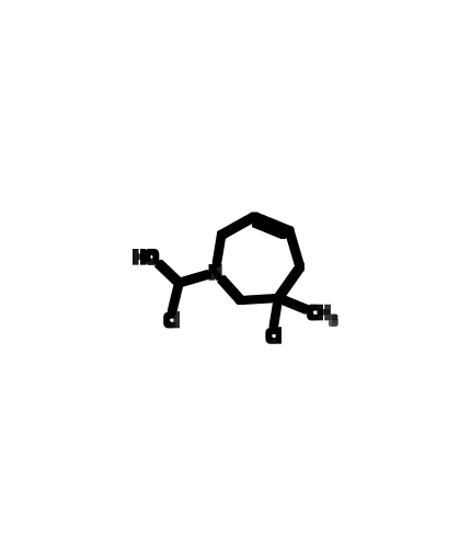 CC1(Cl)CC=CCN(C(O)Cl)C1